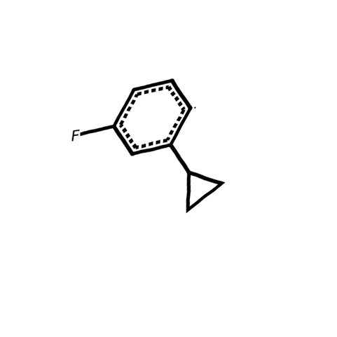 Fc1cc[c]c(C2CC2)c1